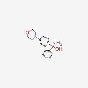 CC(O)(c1ccccc1)c1ccc(N2CCOCC2)cc1